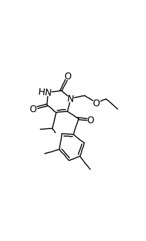 CCOCn1c(C(=O)c2cc(C)cc(C)c2)c(C(C)C)c(=O)[nH]c1=O